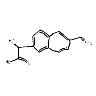 C=Cc1ccc2cc(C(C)C(=O)O)ccc2c1